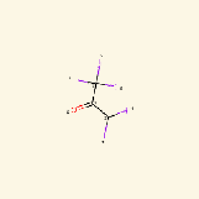 O=C(C(I)I)C(I)(I)I